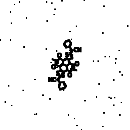 Cn1c(=O)c2c3sc(=C(C#N)c4ccccc4)sc3c3c(=O)n(C)c(=O)c4c5sc(=C(C#N)c6ccccc6)sc5c(c1=O)c2c34